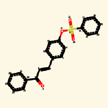 O=C(C=Cc1ccc(OS(=O)(=O)c2ccccc2)cc1)c1ccccc1